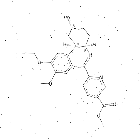 CCOc1cc2c(cc1OC)C(c1ccc(C(=O)OC)cn1)=N[C@@H]1CC[C@@H](O)C[C@H]21